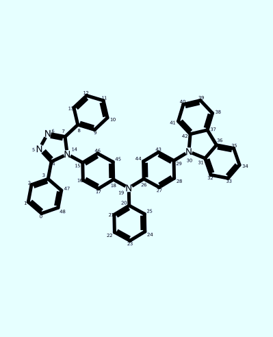 c1ccc(-c2nnc(-c3ccccc3)n2-c2ccc(N(c3ccccc3)c3ccc(-n4c5ccccc5c5ccccc54)cc3)cc2)cc1